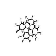 Fc1c(F)c(F)c([B-](c2c(F)c(F)c(F)c(F)c2F)(c2c(F)c(F)c(F)c(F)c2F)C2CC(F)C(F)C(F)C2F)c(F)c1F